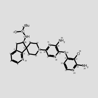 CC(C)(C)[S+]([O-])N[C@@H]1Cc2cccnc2C12CCN(c1cnc(Sc3ccnc(N)c3Cl)c(N)n1)CC2